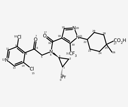 CC(C)[C@H]1C[C@@H]1N(CC(=O)c1c(Cl)cncc1Cl)C(=O)c1cnn(C2CCC(C)(C(=O)O)CC2)c1C(F)(F)F